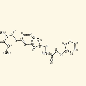 CCN(C(=O)OC(C)(C)C)C(C)Cc1ccc2c(c1)OC(CNC(=O)OCc1ccccc1)O2